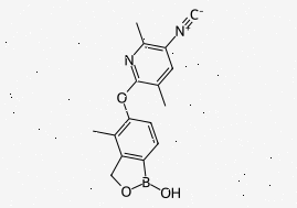 [C-]#[N+]c1cc(C)c(Oc2ccc3c(c2C)COB3O)nc1C